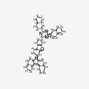 c1ccc2cc(C3=NC(c4ccc5c(c4)oc4cc(-n6c7ccc8ccccc8c7c7c8ccccc8ccc76)ccc45)NC(c4ccc5ccccc5c4)=N3)ccc2c1